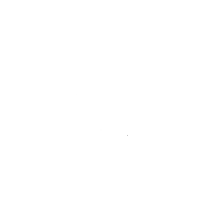 CCOC(=O)C=C[C@H]1COC(C)(C)O1